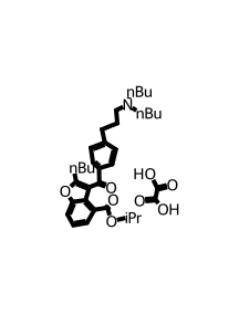 CCCCc1oc2cccc(C(=O)OC(C)C)c2c1C(=O)c1ccc(CCCN(CCCC)CCCC)cc1.O=C(O)C(=O)O